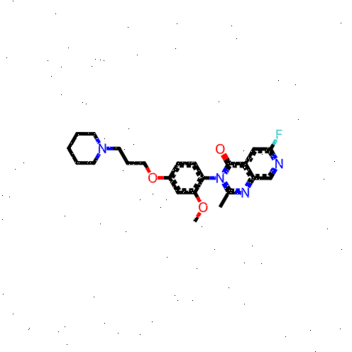 COc1cc(OCCCN2CCCCC2)ccc1-n1c(C)nc2cnc(F)cc2c1=O